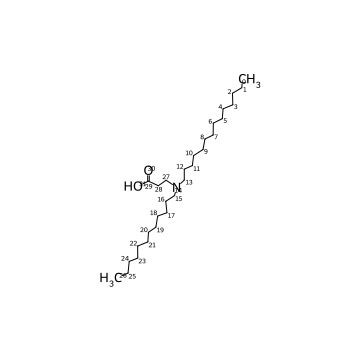 CCCCCCCCCCCCCCN(CCCCCCCCCCCC)CCC(=O)O